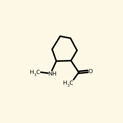 CNC1CCCCC1C(C)=O